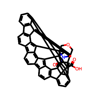 O=C(O)C1(C(=O)N2CCOCC2)C23C4=CC=C5c6ccc7c8ccc9c%10ccc%11c%12ccc4c4c2c2c%13c(c6c7c6c8c9c7c%10c%11c(c4%12)c2c7c%136)C513